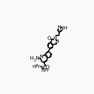 CCCN(CCC)C(=O)C1=Cc2ccc(-c3ccc4c(=O)n(CCc5cn[nH]c5)ncc4c3)cc2N=C(N)C1